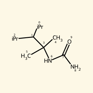 CC(C)C(C(C)C)C(C)(C)NC(N)=O